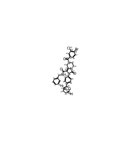 O=C(NCc1ccccc1)c1c2n(c(=O)n1-c1ccc(N3C[C@@H]4CC[C@H]3CO4)cc1)CCN(C(=O)c1ccc(Br)c(Cl)c1)C2